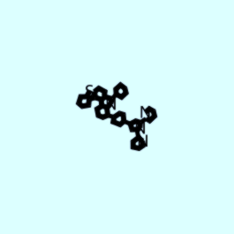 c1ccc(-c2nc3c(-c4ccc(-c5cc(-c6ccccn6)nc(-c6ccccn6)c5)cc4)cccc3c3c2ccc2sc4ccccc4c23)cc1